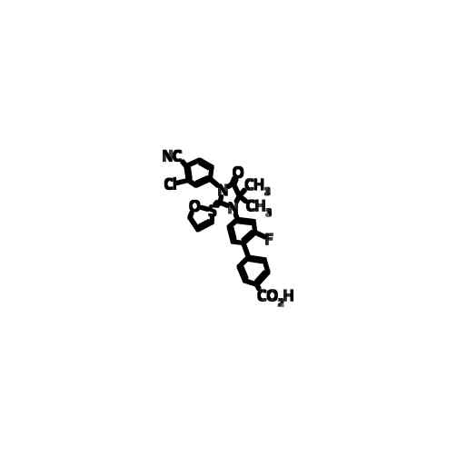 CC1(C)C(=O)N(c2ccc(C#N)c(Cl)c2)C(=S2C=CCO2)N1c1ccc(-c2ccc(C(=O)O)cc2)c(F)c1